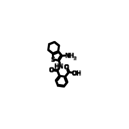 Nc1c(NC(=O)c2ccccc2C(=O)O)sc2c1CCCC2